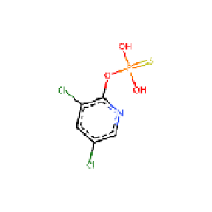 OP(O)(=S)Oc1ncc(Cl)cc1Cl